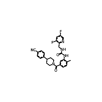 Cc1ccc(C(=O)N2CCC(c3ccc(C#N)cc3)CC2)cc1NC(=O)NCc1ncc(F)cc1F